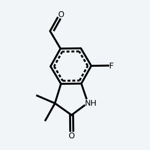 CC1(C)C(=O)Nc2c(F)cc(C=O)cc21